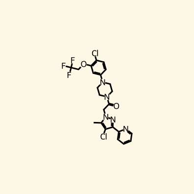 Cc1c(Cl)c(-c2ccccn2)nn1CC(=O)N1CCN(c2ccc(Cl)c(OCC(F)(F)F)c2)CC1